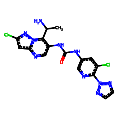 CC(N)c1c(NC(=O)Nc2cnc(-n3nccn3)c(Cl)c2)cnc2cc(Cl)nn12